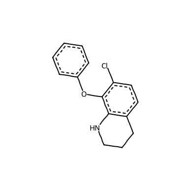 Clc1ccc2c(c1Oc1ccccc1)NCCC2